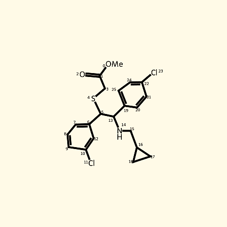 COC(=O)CSC(c1cccc(Cl)c1)C(NCC1CC1)c1ccc(Cl)cc1